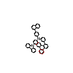 c1ccc(-c2ccccc2-c2c(-c3ccccc3)cccc2-c2cccc(N(c3ccc(-c4cccc5ccccc45)cc3)c3ccc(-n4c5ccccc5c5ccccc54)cc3)c2)cc1